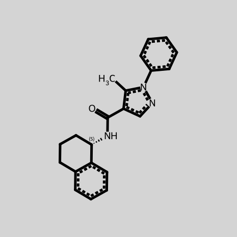 Cc1c(C(=O)N[C@H]2CCCc3ccccc32)cnn1-c1ccccc1